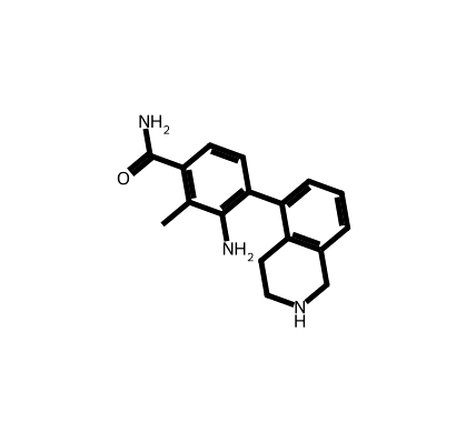 Cc1c(C(N)=O)ccc(-c2cccc3c2CCNC3)c1N